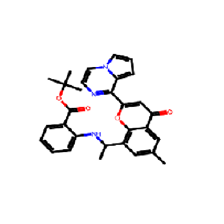 Cc1cc(C(C)Nc2ccccc2C(=O)OC(C)(C)C)c2oc(-c3nccn4cccc34)cc(=O)c2c1